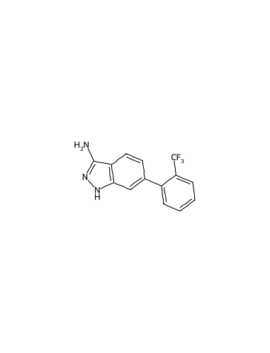 Nc1n[nH]c2cc(-c3ccccc3C(F)(F)F)ccc12